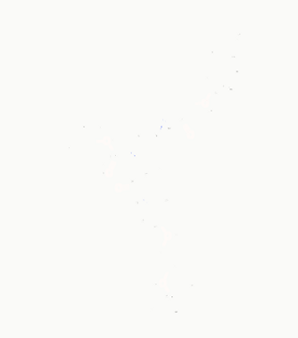 CC(C)(C)OC(=O)N1C[C@@H](NC(=O)COc2ccc(Cl)c(F)c2)CC[C@@H]1C(=O)N1CC(OCCOC(F)(F)F)C1